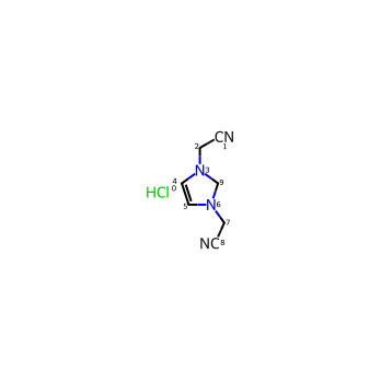 Cl.N#CCN1C=CN(CC#N)C1